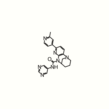 Cc1cc(-c2ccc3c(n2)N(C(=O)Nc2cncnc2)C2CCCN3C2)ccn1